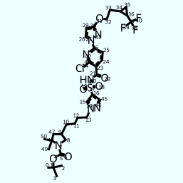 CC(C)(C)OC(=O)N1CC(CCCCn2cc(S(=O)(=O)NC(=O)c3ccc(-n4ccc(OCCC5CC5C(F)(F)F)n4)nc3Cl)cn2)CC1(C)C